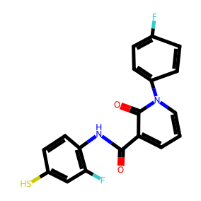 O=C(Nc1ccc(S)cc1F)c1cccn(-c2ccc(F)cc2)c1=O